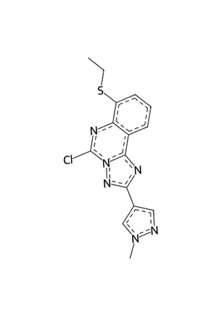 CCSc1cccc2c1nc(Cl)n1nc(-c3cnn(C)c3)nc21